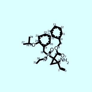 C=CC1(N)CC1(C(=O)OCc1ccccc1)P(=O)(Cc1ccccc1OC(C)C)OCC